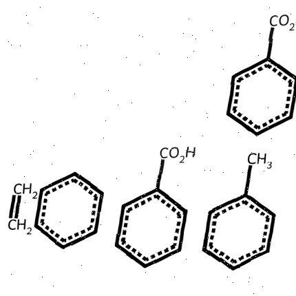 C=C.Cc1ccccc1.O=C(O)c1ccccc1.O=C(O)c1ccccc1.c1ccccc1